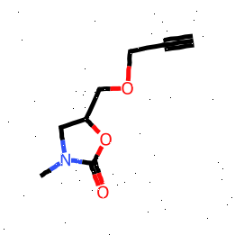 C#CCOCC1CN(C)C(=O)O1